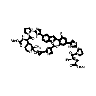 COC(=O)NC(C(=O)N1CCC[C@H]1c1ncc(-c2ccc3c(c2)cc2n3C(c3cnc(C4CC4)s3)Oc3cc(-c4cnc([C@@H]5CCCN5C(=O)[C@@H](NC(=O)OC)C(C)C)[nH]4)cc(F)c3-2)[nH]1)C1CCOC(C)(C)C1